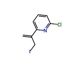 C=C(CI)c1cccc(Cl)n1